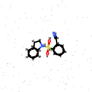 N#Cc1ccccc1S(=O)(=O)N1CCc2ccccc21